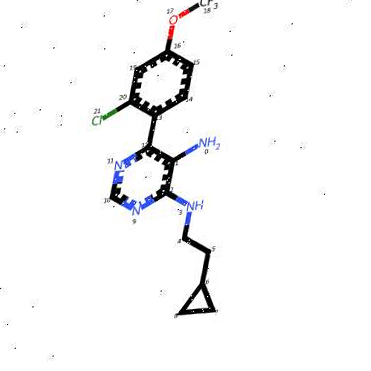 Nc1c(NCCC2CC2)ncnc1-c1ccc(OC(F)(F)F)cc1Cl